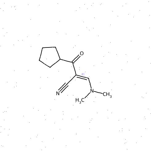 CN(C)/C=C(\C#N)C(=O)C1CCCC1